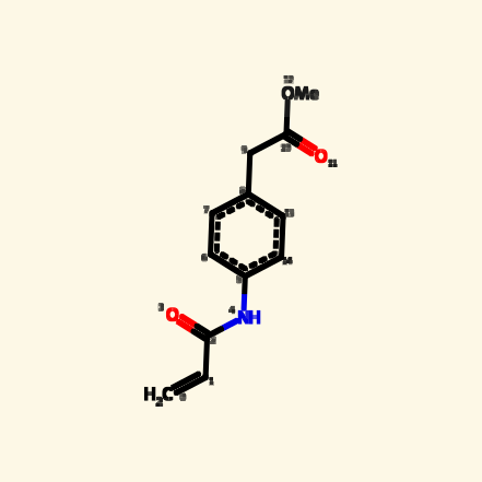 C=CC(=O)Nc1ccc(CC(=O)OC)cc1